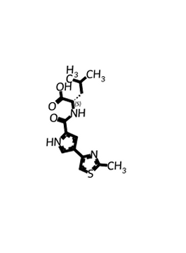 Cc1nc(-c2c[nH]c(C(=O)N[C@@H](CC(C)C)C(=O)O)c2)cs1